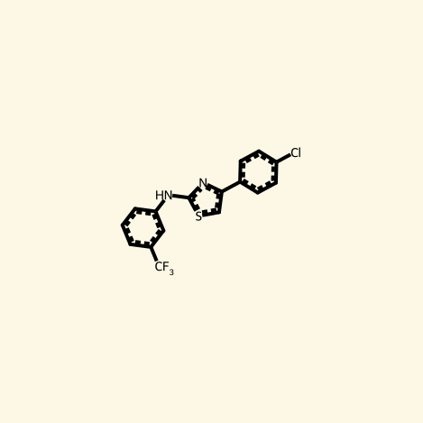 FC(F)(F)c1cccc(Nc2nc(-c3ccc(Cl)cc3)cs2)c1